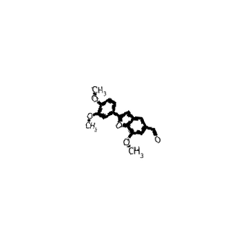 COc1ccc(-c2cc3cc(C=O)cc(OC)c3o2)cc1OC